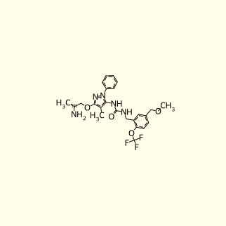 COCc1ccc(OC(F)(F)F)c(CNC(=O)Nc2c(C)c(OC[C@H](C)N)nn2-c2ccccc2)c1